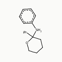 CC(C)C1([SiH2]c2ccccc2)CCCCO1